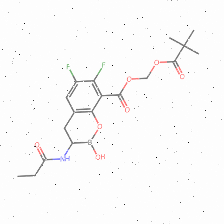 CCC(=O)NC1Cc2cc(F)c(F)c(C(=O)OCOC(=O)C(C)(C)C)c2OB1O